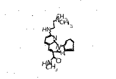 CNC(=O)c1cc2ccc(NCCN(C)C)nc2n2c1nc1ccccc12